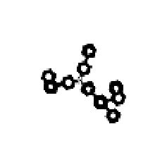 c1ccc(-c2ccc(N(c3ccc(-c4ccc(-c5ccccc5)c(-c5cccc6ccccc56)c4)cc3)c3ccc(-c4cccc5ccccc45)cc3)cc2)cc1